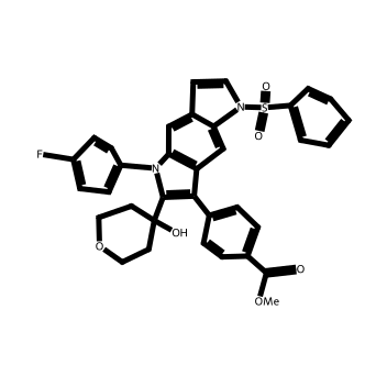 COC(=O)c1ccc(-c2c(C3(O)CCOCC3)n(-c3ccc(F)cc3)c3cc4ccn(S(=O)(=O)c5ccccc5)c4cc23)cc1